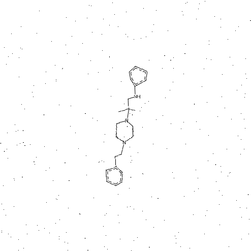 CC(C)(CNc1ccccc1)N1CCN(CCc2ccccc2)CC1